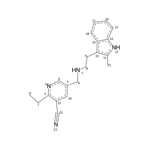 CCc1ncc(CNCCc2c(C)[nH]c3ccccc23)cc1C#N